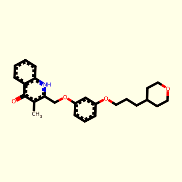 Cc1c(COc2cccc(OCCCC3CCOCC3)c2)[nH]c2ccccc2c1=O